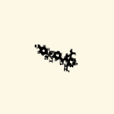 CC(C)n1cc(C(=O)c2cccc(NS(=O)(=O)c3ccc(Cl)cc3)c2)c2c(N)ncnc21